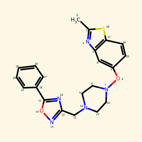 Cc1nc2cc(ON3C[CH]N(Cc4noc(-c5ccccc5)n4)CC3)ccc2s1